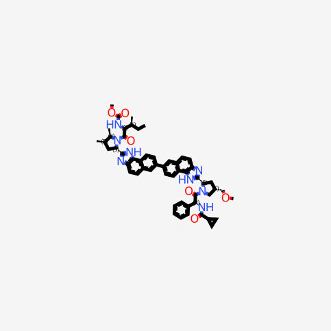 CC[C@H](C)[C@H](NC(=O)OC)C(=O)N1[C@H](C)[C@H](C)C[C@H]1c1nc2ccc3cc(-c4ccc5c(ccc6nc([C@@H]7C[C@H](COC)CN7C(=O)[C@H](NC(=O)C7CC7)c7ccccc7)[nH]c65)c4)ccc3c2[nH]1